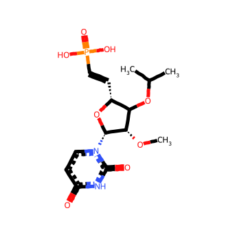 CO[C@H]1C(OC(C)C)[C@@H](/C=C/P(=O)(O)O)O[C@H]1n1ccc(=O)[nH]c1=O